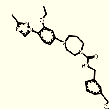 CCOc1cc(N2CCCN(C(=O)NCc3cccc(COC)c3)CC2)ccc1-n1cnc(C)n1